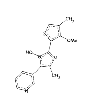 COc1c(C)csc1-c1nc(C)c(-c2cccnc2)n1O